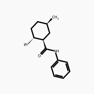 CC(C)[C@@H]1CC[C@@H](C)C[C@H]1C(=O)Nc1ccccc1